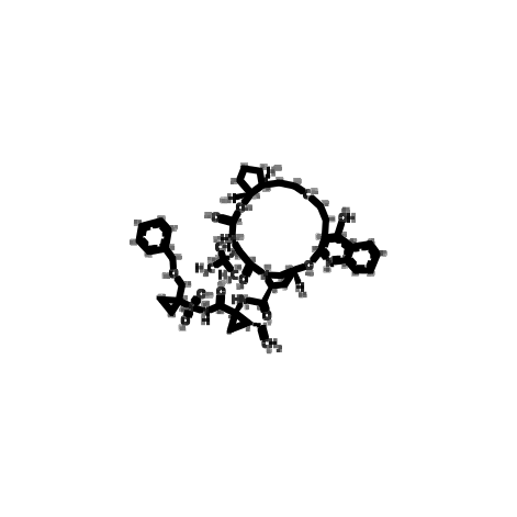 C=C[C@@H]1C[C@]1(NC(=O)[C@@H]1C[C@@H]2CN1C(=O)[C@H](C(C)(C)C)NC(=O)O[C@@H]1CCC[C@H]1CCCCCc1c(nc3ccccc3c1O)O2)C(=O)NS(=O)(=O)C1(COCc2ccccc2)CC1